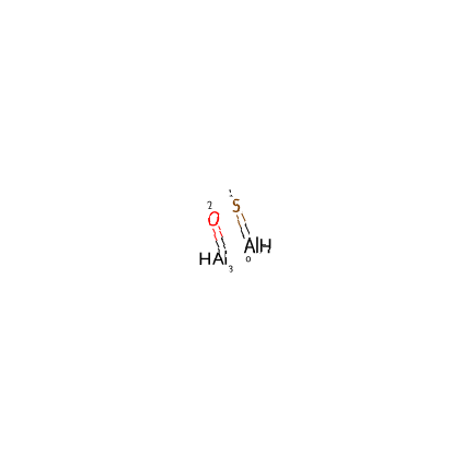 [AlH]=[S].[O]=[AlH]